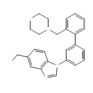 C[C@@H](O)c1ccc2c(c1)ncn2-c1cccc(-c2ccccc2CN2CCOCC2)c1